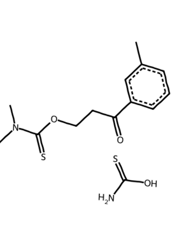 Cc1cccc(C(=O)CCOC(=S)N(C)C)c1.NC(O)=S